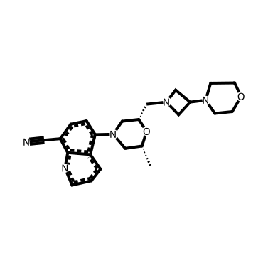 C[C@@H]1CN(c2ccc(C#N)c3ncccc23)C[C@H](CN2CC(N3CCOCC3)C2)O1